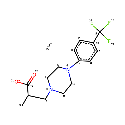 CC(CN1CCN(c2ccc(C(F)(F)F)cc2)CC1)C(=O)[O-].[Li+]